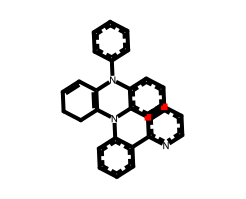 c1ccnc(-c2ccccc2N2C3=C(C=CCC3)N(c3ccccc3)c3ccccc32)c#1